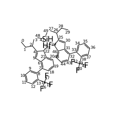 CCC(C)C1=Cc2c(-c3ccccc3C(F)(F)F)cccc2[CH]1[Hf]([CH]1C(C(C)CC)=Cc2c(-c3ccccc3C(F)(F)F)cccc21)[SiH](C)C